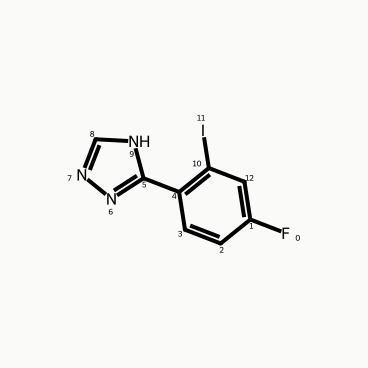 Fc1ccc(-c2nnc[nH]2)c(I)c1